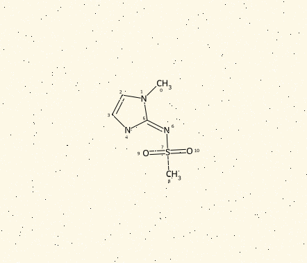 CN1C=C[N]C1=NS(C)(=O)=O